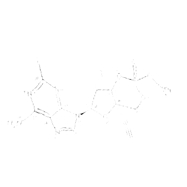 C#C[C@@]12COP(=O)(OC(C)C)O[C@@H]1C[C@H](n1cnc3c(N)nc(F)nc31)O2